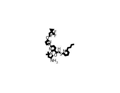 CCCCc1cccc(SNC(=O)c2ccc(-n3ccc(OCCC4(C(F)(F)F)CC4)n3)nc2N2CC(N)CC2(C)C)n1